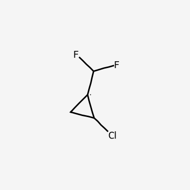 FC(F)[C]1CC1Cl